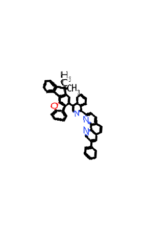 CC1(C)c2ccccc2-c2c1cc(-c1cnc(-c3ccc4ccc5cc(-c6ccccc6)cnc5c4n3)c3ccccc13)c1c2oc2ccccc21